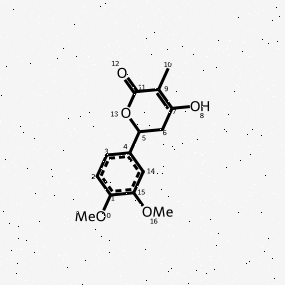 COc1ccc(C2CC(O)=C(C)C(=O)O2)cc1OC